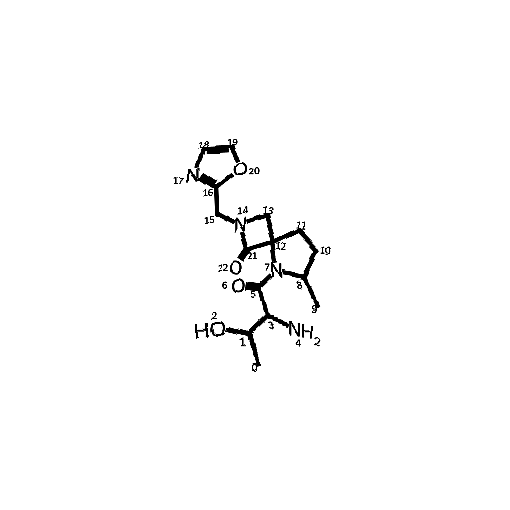 CC(O)C(N)C(=O)N1C(C)CCC12CN(Cc1ncco1)C2=O